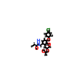 C=CC(=O)NCc1ccc(Oc2ccc(Cl)cc2)c2c1CC(OC(C)=O)CO2